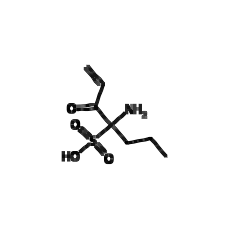 C=CC(=O)C(N)(CCC)S(=O)(=O)O